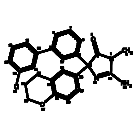 CN1C(=O)C(c2cccc(-c3cccc(Cl)c3)c2)(c2ccc3c(c2)CCCO3)N=C1N